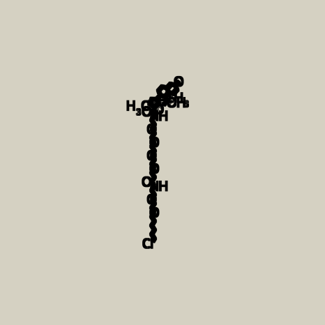 C[C@@H]1CC2C3CCC4=CC(=O)C=C[C@]4(C)[C@@]3(F)[C@@H](O)C[C@@]23O[C@]13C(=O)NCCOCCOCCOCCOCCC(=O)NCCOCCOCCCCCCCl